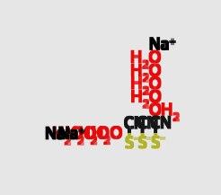 N#C[S-].N#C[S-].N#C[S-].O.O.O.O.O.O.O.O.O.[Na+].[Na+].[Na+]